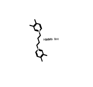 Br.Br.Br.Br.Cc1cc[n+](CCCC[n+]2ccc(C)c(C)c2)cc1C